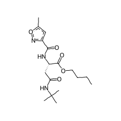 CCCCOC(=O)[C@H](CC(=O)NC(C)(C)C)NC(=O)c1cc(C)on1